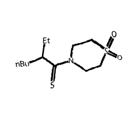 CCCCC(CC)C(=S)N1CCS(=O)(=O)CC1